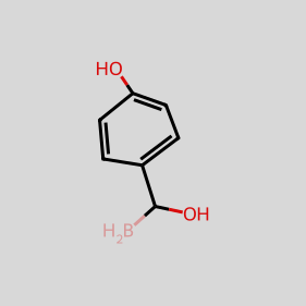 BC(O)c1ccc(O)cc1